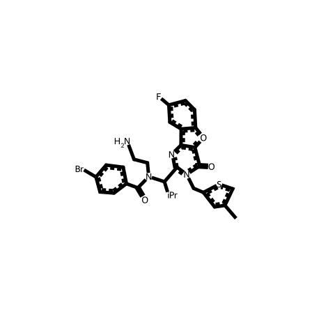 Cc1csc(Cn2c(C(C(C)C)N(CCN)C(=O)c3ccc(Br)cc3)nc3c(oc4ccc(F)cc43)c2=O)c1